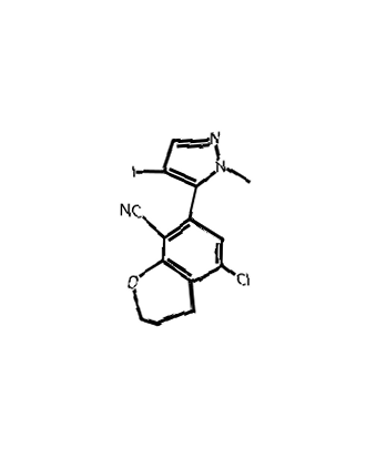 Cn1ncc(I)c1-c1cc(Cl)c2c(c1C#N)OCCC2